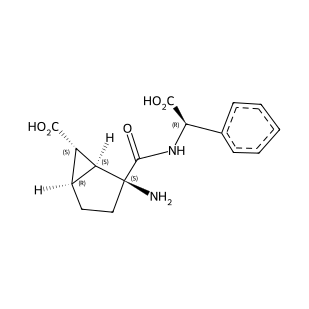 N[C@@]1(C(=O)N[C@@H](C(=O)O)c2ccccc2)CC[C@H]2[C@H](C(=O)O)[C@H]21